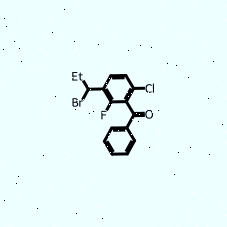 CCC(Br)c1ccc(Cl)c(C(=O)c2ccccc2)c1F